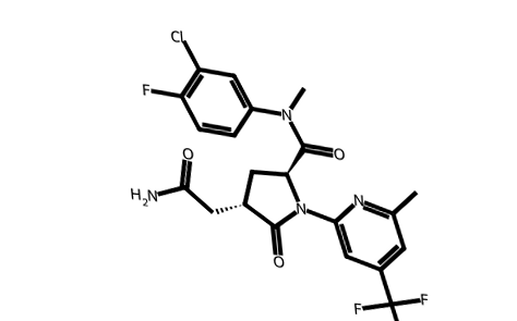 Cc1cc(C(F)(F)F)cc(N2C(=O)[C@H](CC(N)=O)C[C@H]2C(=O)N(C)c2ccc(F)c(Cl)c2)n1